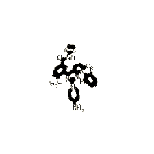 Cc1ccc(C(=O)Nc2nccs2)cc1-c1nc(N2CCC(N)CC2)nc2c1ccc(=O)n2-c1c(F)cccc1F